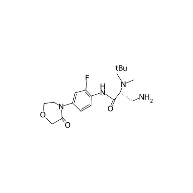 CN(CC(C)(C)C)[C@H](CN)C(=O)Nc1ccc(N2CCOCC2=O)cc1F